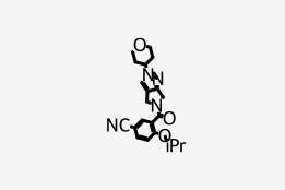 CC(C)Oc1ccc(C#N)cc1C(=O)N1Cc2cn(C3CCOCC3)nc2C1